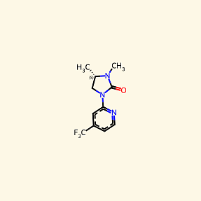 C[C@H]1CN(c2cc(C(F)(F)F)ccn2)C(=O)N1C